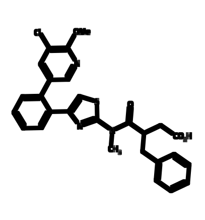 COc1ncc(-c2ccccc2-c2csc(N(C)C(=O)C(CC(=O)O)Cc3ccccc3)n2)cc1Cl